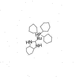 C1CCC([PH]([Ru][CH]2NC3CCCCC3N2)(C2CCCCC2)C2CCCCC2)CC1